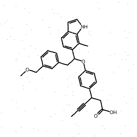 CC#CC(CC(=O)O)c1ccc(OC(Cc2cccc(COC)c2)c2ccc3cc[nH]c3c2C)cc1